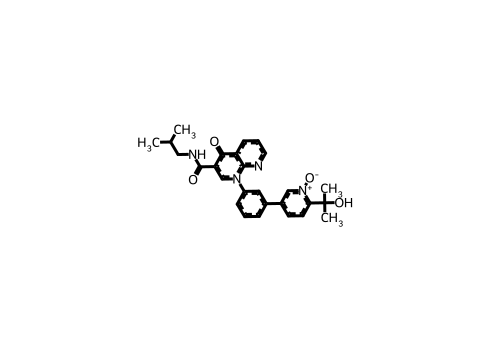 CC(C)CNC(=O)c1cn(-c2cccc(-c3ccc(C(C)(C)O)[n+]([O-])c3)c2)c2ncccc2c1=O